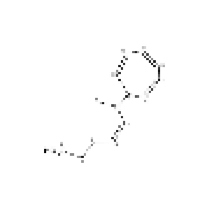 CC(/C=C\CCC(=O)O)C1C=CC=CC=C1